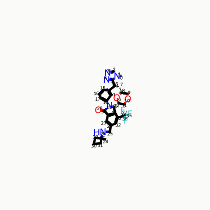 Cn1cnnc1[C@H](C[C@@H]1COCCO1)c1cccc(N2Cc3c(cc(CNC4(C)CCC4)cc3C(F)(F)F)C2=O)c1